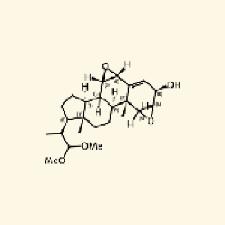 COC(OC)C(C)[C@H]1CC[C@H]2[C@@H]3[C@@H]4O[C@@H]4C4=C[C@@H](O)[C@@H]5O[C@@H]5[C@]4(C)[C@H]3CC[C@]12C